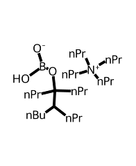 CCCCC(CCC)C(CCC)(CCC)OB([O-])O.CCC[N+](CCC)(CCC)CCC